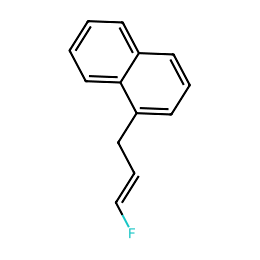 FC=CCc1cccc2ccccc12